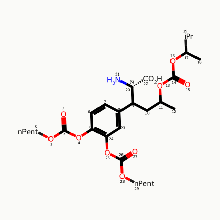 CCCCCOC(=O)Oc1ccc(C(CC(C)OC(=O)OC(C)C(C)C)[C@H](N)C(=O)O)cc1OC(=O)OCCCCC